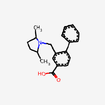 CC1CCC(C)N1Cc1cc(C(=O)O)ccc1-c1ccccc1